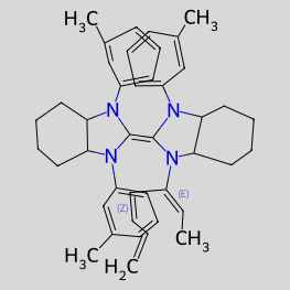 C=C/C=C\C(=C/C)N1C(=C2N(c3cccc(C)c3)C3CCCCC3N2c2cccc(C)c2)N(c2cccc(C)c2)C2CCCCC21